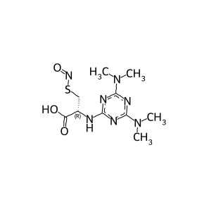 CN(C)c1nc(N[C@@H](CSN=O)C(=O)O)nc(N(C)C)n1